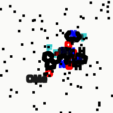 COCOc1cc(-c2nc3c4c(nc(OC[C@]56CCCN5C[C@@H](F)C6)nc4c2F)N2C[C@H]4CC[C@@H]([C@H]2CO3)N4C(=O)OC(C)(C)C)c2c(F)c(F)ccc2c1